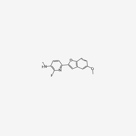 CNc1ccc(-c2cc3cc(OC)ccc3o2)nc1F